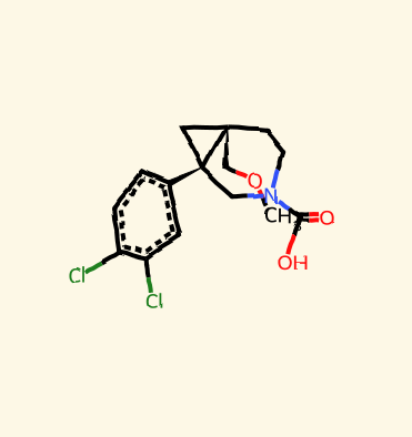 COC[C@@]12CCN(C(=O)O)C[C@]1(c1ccc(Cl)c(Cl)c1)C2